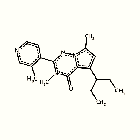 CCC(CC)c1cc(C)n2nc(-c3ccncc3C)n(C)c(=O)c12